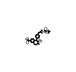 COC(=O)c1ccc2c(c1)CCC(C)C(Br)=C2c1ccc(C=C2CN(C(=O)OC(C)(C)C)C2)cc1